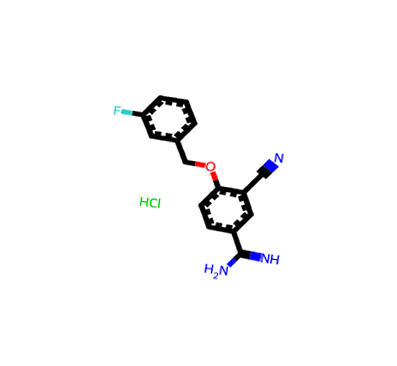 Cl.N#Cc1cc(C(=N)N)ccc1OCc1cccc(F)c1